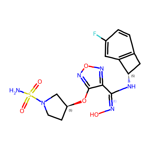 NS(=O)(=O)N1CC[C@H](Oc2nonc2/C(=N\O)N[C@H]2Cc3ccc(F)cc32)C1